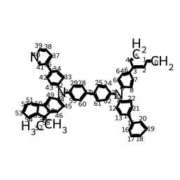 C=C/C=C(\C=C)c1ccc(N(c2ccc(-c3ccccc3)cc2)c2ccc(-c3ccc(N(c4ccc(-c5cccnc5)cc4)c4ccc5c(c4)-c4ccccc4C5(C)C)cc3)cc2)cc1